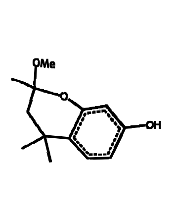 COC1(C)CC(C)(C)c2ccc(O)cc2O1